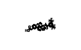 CCN(C[C@H]1CC[C@H](CC(=O)O)CC1)c1ccc[n+]([O-])c1CN1C(=O)O[C@H](c2cc(C(F)(F)F)cc(C(F)(F)F)c2)[C@@H]1C